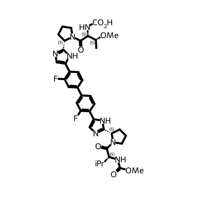 COC(=O)N[C@H](C(=O)N1CCC[C@H]1c1ncc(-c2ccc(-c3ccc(-c4cnc([C@@H]5CCCN5C(=O)[C@@H](NC(=O)O)[C@H](C)OC)[nH]4)c(F)c3)cc2F)[nH]1)C(C)C